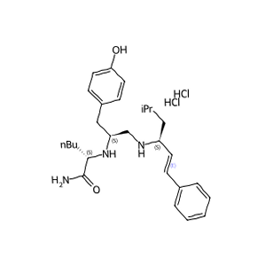 CCCC[C@H](N[C@H](CN[C@H](/C=C/c1ccccc1)CC(C)C)Cc1ccc(O)cc1)C(N)=O.Cl.Cl